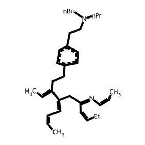 C\C=C/C=C(CC(/C=C\CC)=N/C=C\C)\C(=C\C)CCc1ccc(CCN(CCC)CCCC)cc1